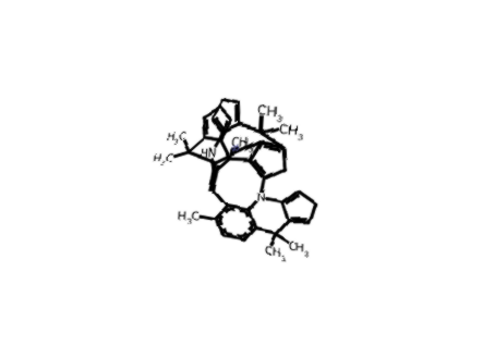 Cc1ccc2c3c1C1=C4/C=C\C5=C6CC(=C5C(C)(C5=CCC=C5C4(C)C)C1NC1=CCC=C1C6(C)C)N3C1=CCC=C1C2(C)C